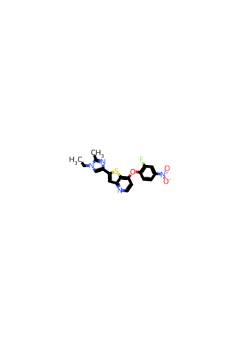 CCn1cc(-c2cc3nccc(Oc4ccc([N+](=O)[O-])cc4F)c3s2)nc1C